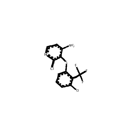 Nc1ccnc(Cl)c1Sc1cccc(Cl)c1C(F)(F)F